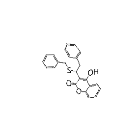 O=c1oc2ccccc2c(O)c1C(Cc1ccccc1)SCc1ccccc1